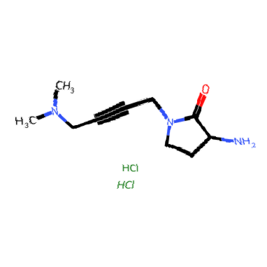 CN(C)CC#CCN1CCC(N)C1=O.Cl.Cl